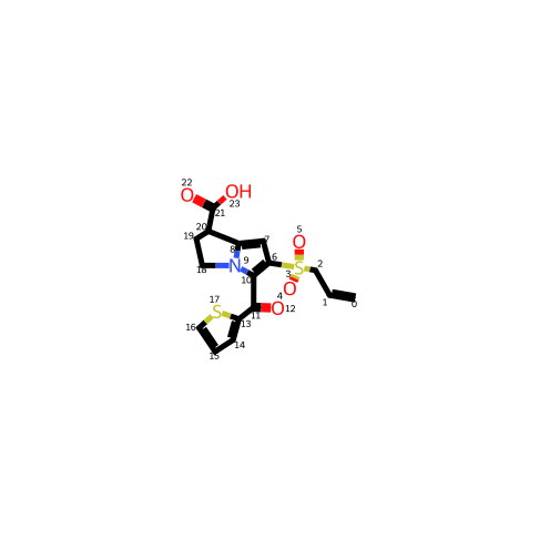 C=CCS(=O)(=O)c1cc2n(c1C(=O)c1cccs1)CCC2C(=O)O